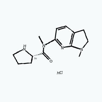 CN1CCc2ccc(N(C)C(=O)[C@@H]3CCCN3)nc21.Cl